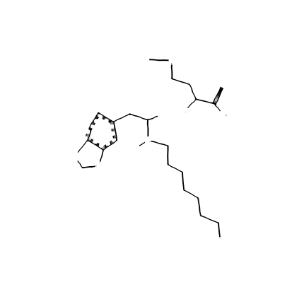 CCCCCCCC[S+]([O-])C(C)Cc1ccc2c(c1)OCO2.CSCCC(N)C(=O)O